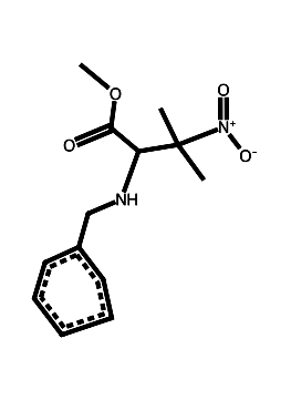 COC(=O)C(NCc1ccccc1)C(C)(C)[N+](=O)[O-]